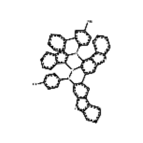 CC(C)(C)c1ccc(N2B3c4c(cc5sc6ccccc6c5c4N(c4ccc(C(C)(C)C)cc4-c4ccccc4)c4sc5ccccc5c43)-c3cc4c(cc32)oc2ccccc24)cc1